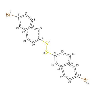 Brc1ccc2cc(SSc3ccc4cc(Br)ccc4c3)ccc2c1